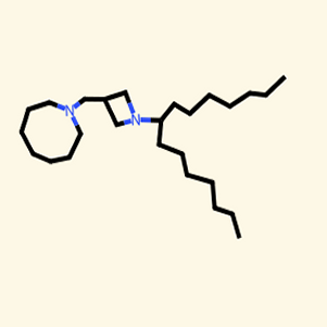 CCCCCCCC(CCCCCCC)N1CC(CN2CCCCCCC2)C1